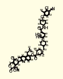 CC[C@@]1(O)C(=O)OCc2c1cc1n(c2=O)Cc2cc3c(CN(C)C)c(OC(=O)N4C[C@H](C)N(CC5CCN(C6=CC=C(C(=O)N[C@H]7CC[C@H](Oc8ccc(C#N)c(Cl)c8C)CC7)NN6)CC5)C[C@H]4C)ccc3nc2-1